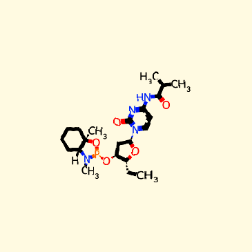 CC[C@H]1O[C@@H](n2ccc(NC(=O)C(C)C)nc2=O)C[C@H]1O[P@]1O[C@]2(C)CCCC[C@H]2N1C